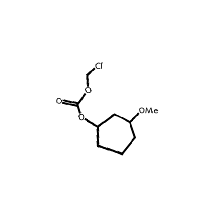 COC1CCCC(OC(=O)OCCl)C1